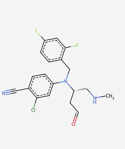 CNC[C@H](CC=O)N(Cc1ccc(F)cc1F)c1ccc(C#N)c(Cl)c1